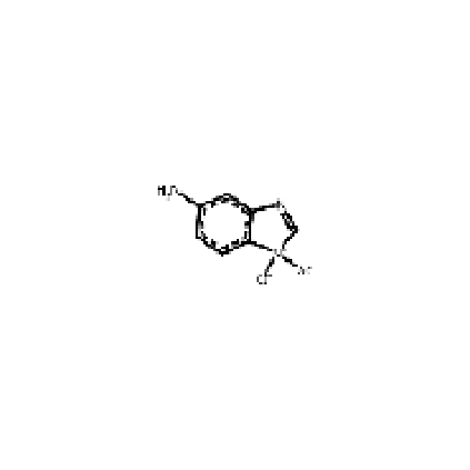 CC(=O)[N+]1([O-])C=Nc2cc(N)ccc21